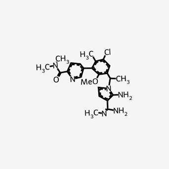 C/N=C(/N)c1ccn(C(C)c2cc(Cl)c(C)c(-c3ccc(C(=O)N(C)C)nc3)c2OC)c1N